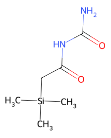 C[Si](C)(C)CC(=O)NC(N)=O